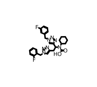 O=C(O)N(C1CCCCC1)C(Cc1cn(Cc2ccccc2F)nn1)c1cn(Cc2cccc(F)c2)nn1